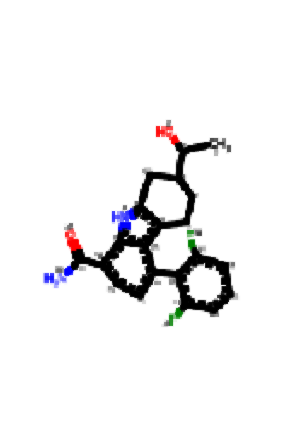 CC(O)C1CCc2c([nH]c3c(C(N)=O)ccc(-c4c(F)cccc4F)c23)C1